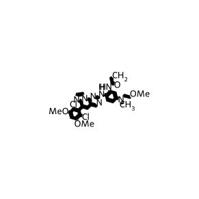 C=CC(=O)Nc1cc(N(C)CCOC)ccc1Nc1ncc2cc(-c3c(Cl)c(OC)cc(OC)c3Cl)c3nccn3c2n1